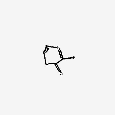 O=C1CC=[C]N=C1F